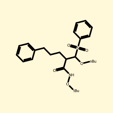 CCCCOC(C(CCCc1ccccc1)C(=O)NOC(C)(C)C)S(=O)(=O)c1ccccc1